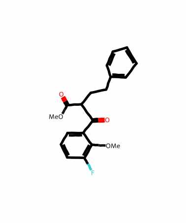 COC(=O)C(CCc1ccccc1)C(=O)c1cccc(F)c1OC